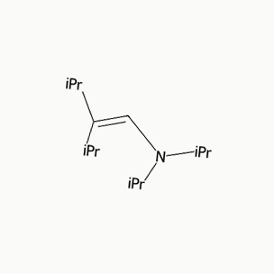 CC(C)C(=CN(C(C)C)C(C)C)C(C)C